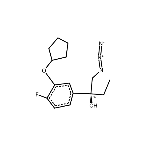 CC[C@@](O)(CN=[N+]=[N-])c1ccc(F)c(OC2CCCC2)c1